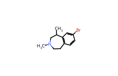 CC1CN(C)CCc2ccc(Br)cc21